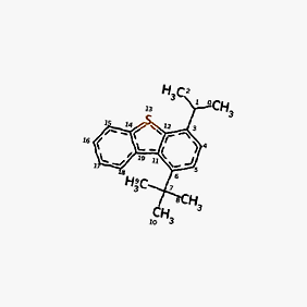 CC(C)c1ccc(C(C)(C)C)c2c1sc1ccccc12